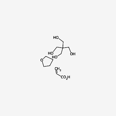 C1CCOC1.C=CC(=O)O.OCC(CO)(CO)CO